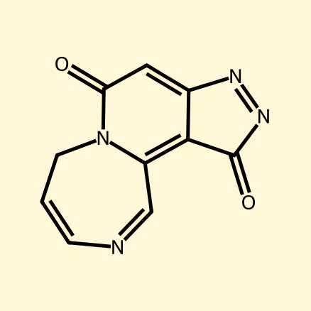 O=C1N=Nc2cc(=O)n3c(c21)C=NC=CC3